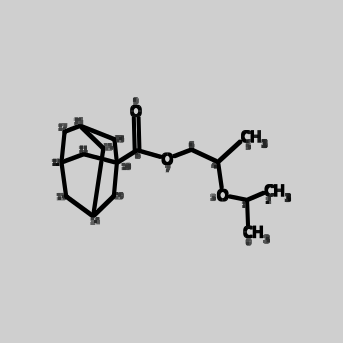 CC(C)OC(C)COC(=O)C12CC3CC(CC(C3)C1)C2